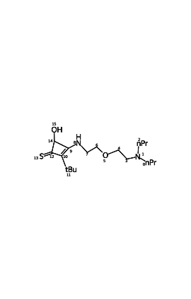 CCCN(CCC)CCOCCNC1=C(C(C)(C)C)C(=S)C1O